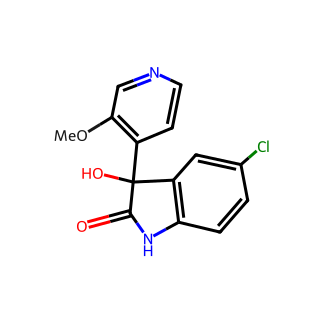 COc1cnccc1C1(O)C(=O)Nc2ccc(Cl)cc21